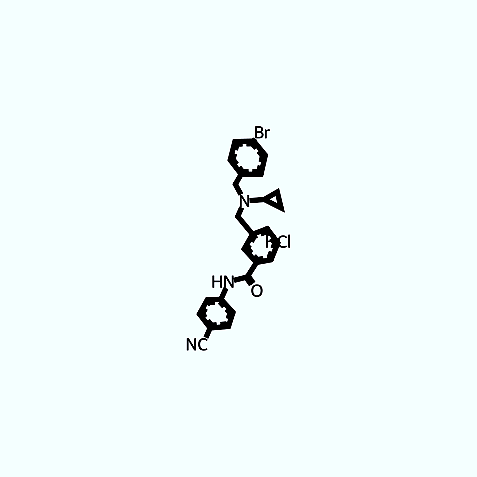 Cl.N#Cc1ccc(NC(=O)c2cccc(CN(Cc3ccc(Br)cc3)C3CC3)c2)cc1